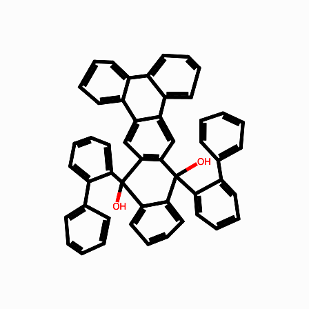 OC1(c2ccccc2-c2ccccc2)c2ccccc2C(O)(c2ccccc2-c2ccccc2)c2cc3c4ccccc4c4ccccc4c3cc21